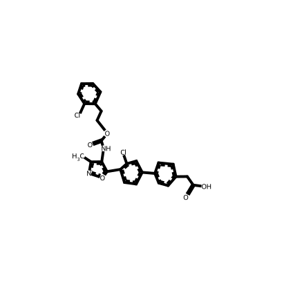 Cc1noc(-c2ccc(-c3ccc(CC(=O)O)cc3)cc2Cl)c1NC(=O)OCCc1ccccc1Cl